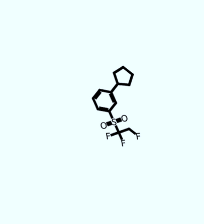 O=S(=O)(c1cccc(C2CCCC2)c1)C(F)(F)CF